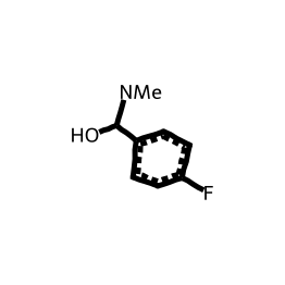 CNC(O)c1ccc(F)cc1